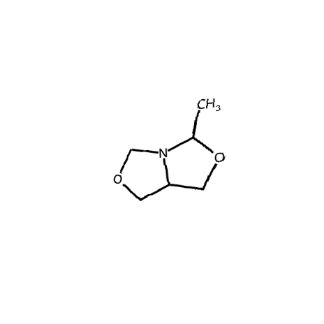 CC1OCC2COCN21